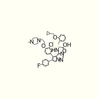 Cc1c(-c2c(-c3ccc(F)cc3)cn3ncnc(N[C@H](Cc4ccccc4OCC4CC4)C(=O)O)c23)ccc(OCCN2CCN(C)CC2)c1Cl